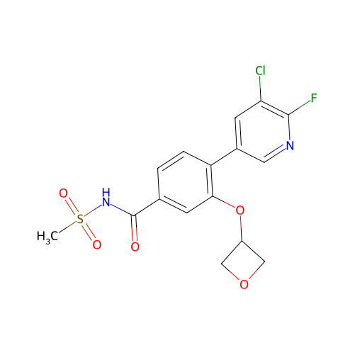 CS(=O)(=O)NC(=O)c1ccc(-c2cnc(F)c(Cl)c2)c(OC2COC2)c1